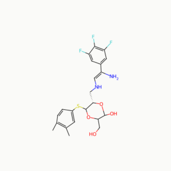 Cc1ccc(SC2OC(CO)C(O)O[C@H]2CN/C=C(\N)c2cc(F)c(F)c(F)c2)cc1C